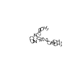 COc1cccc(CN(Cc2ccc3cccnc3c2)c2ccnc(COCCOc3cccc(N(C)C)c3)c2)c1